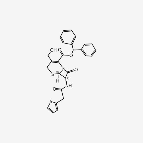 O=C(Cc1cccs1)N[C@@H]1C(=O)N2C(C(=O)OC(c3ccccc3)c3ccccc3)=C(CO)CS[C@H]12